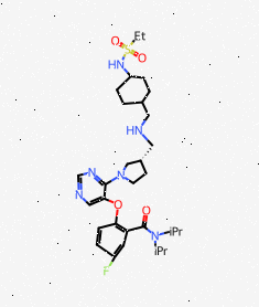 CCS(=O)(=O)NC1CCC(CNC[C@@H]2CCN(c3ncncc3Oc3ccc(F)cc3C(=O)N(C(C)C)C(C)C)C2)CC1